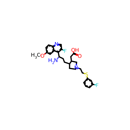 COc1ccc2ncc(F)c([C@H](N)CCC3CCN(CCSc4cccc(F)c4)CC3CC(=O)O)c2c1